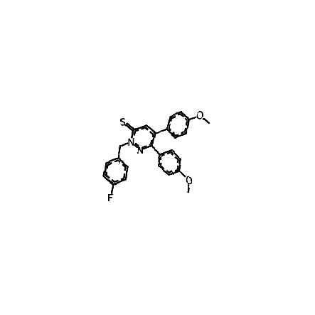 COc1ccc(-c2cc(=S)n(Cc3ccc(F)cc3)nc2-c2ccc(OC)cc2)cc1